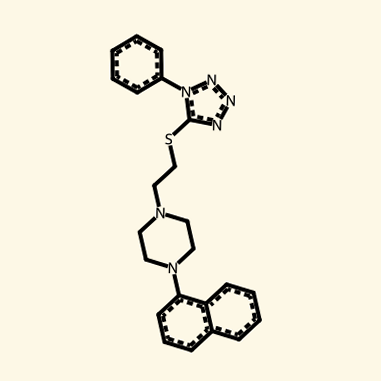 c1ccc(-n2nnnc2SCCN2CCN(c3cccc4ccccc34)CC2)cc1